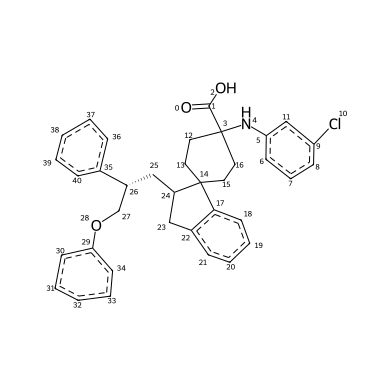 O=C(O)C1(Nc2cccc(Cl)c2)CCC2(CC1)c1ccccc1CC2C[C@H](COc1ccccc1)c1ccccc1